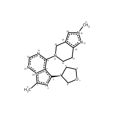 Cc1nc([C@H]2CCOC2)c2c(N3CCc4nn(C)cc4C3)ncnn12